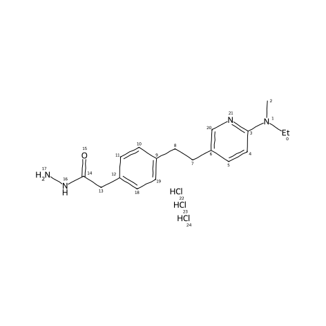 CCN(C)c1ccc(CCc2ccc(CC(=O)NN)cc2)cn1.Cl.Cl.Cl